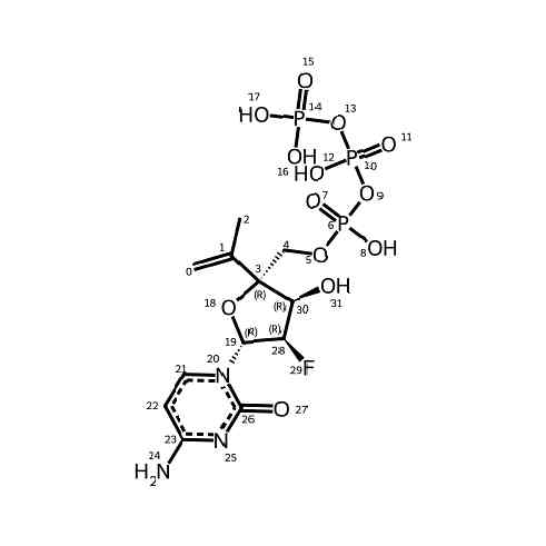 C=C(C)[C@]1(COP(=O)(O)OP(=O)(O)OP(=O)(O)O)O[C@@H](n2ccc(N)nc2=O)[C@H](F)[C@@H]1O